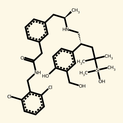 C[C@H](Cc1cccc(CC(=O)NCc2c(Cl)cccc2Cl)c1)NC[C@H](CC(C)(C)[Si](C)(C)O)c1ccc(O)c(CO)c1